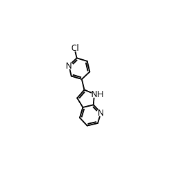 Clc1ccc(-c2cc3cccnc3[nH]2)cn1